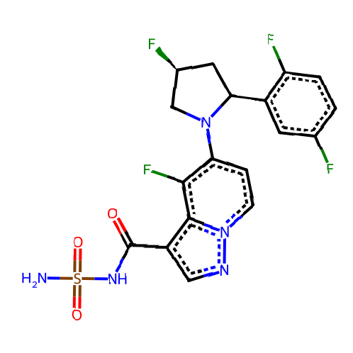 NS(=O)(=O)NC(=O)c1cnn2ccc(N3C[C@@H](F)CC3c3cc(F)ccc3F)c(F)c12